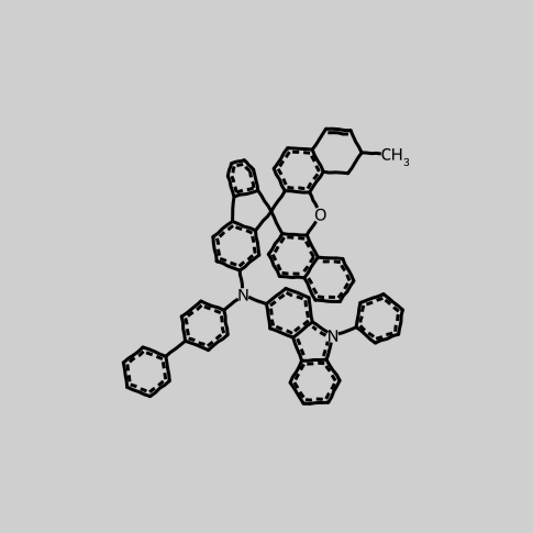 CC1C=Cc2ccc3c(c2C1)Oc1c(ccc2ccccc12)C31c2ccccc2-c2ccc(N(c3ccc(-c4ccccc4)cc3)c3ccc4c(c3)c3ccccc3n4-c3ccccc3)cc21